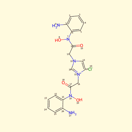 Nc1ccccc1N(O)C(=O)Cn1cc[n+](CC(=O)N(O)c2ccccc2N)c1.[Cl-]